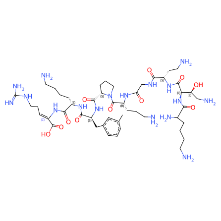 Cc1cccc(C[C@H](NC(=O)[C@@H]2CCCN2C(=O)[C@@H](CCCN)NC(=O)CNC(=O)[C@H](CCN)NC(=O)[C@H](NC(=O)C(N)CCCCN)[C@@H](O)CN)C(=O)N[C@@H](CCCCN)C(=O)N/C(=C\CCNC(=N)N)C(=O)O)c1